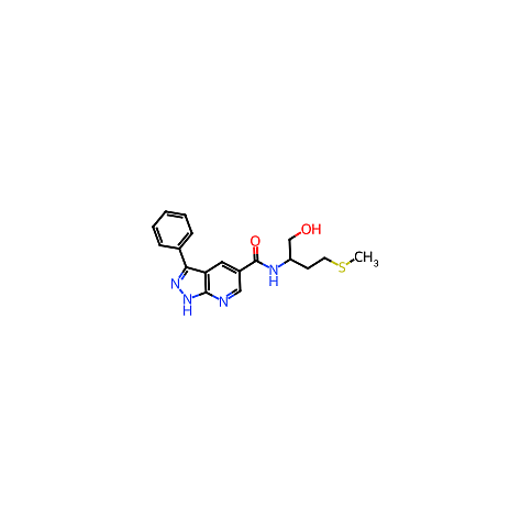 CSCCC(CO)NC(=O)c1cnc2[nH]nc(-c3ccccc3)c2c1